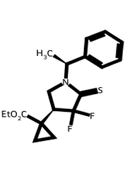 CCOC(=O)C1([C@H]2CN([C@@H](C)c3ccccc3)C(=S)C2(F)F)CC1